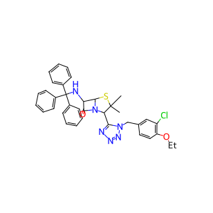 CCOc1ccc(Cn2nnnc2C2N3C(=O)C(NC(c4ccccc4)(c4ccccc4)c4ccccc4)C3SC2(C)C)cc1Cl